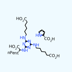 CCCCCC(Nc1nc(NCCCCCC(=O)O)nc(NCCCCCC(=O)O)n1)C(=O)O.O=C(O)c1ccc[nH]1